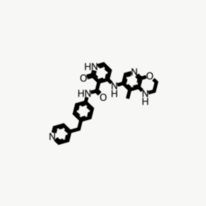 Cc1c(Nc2cc[nH]c(=O)c2C(=O)Nc2ccc(Cc3ccncc3)cc2)cnc2c1NCCO2